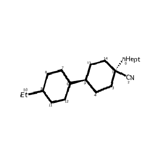 CCCCCCC[C@]1(C#N)CC[C@@H](C2CCC(CC)CC2)CC1